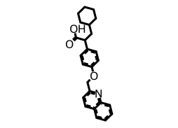 O=C(O)C(CC1CCCCC1)c1ccc(OCc2ccc3ccccc3n2)cc1